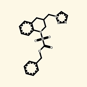 O=C(OCc1ccccc1)S(=O)(=O)N1CC(Cn2ccnn2)Cc2ccccc21